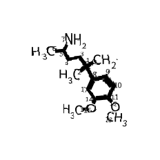 [CH2]C(C)(CCC(C)N)c1ccc(OC)c(OC)c1